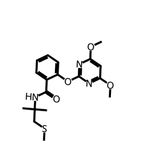 COc1cc(OC)nc(Oc2ccccc2C(=O)NC(C)(C)CSC)n1